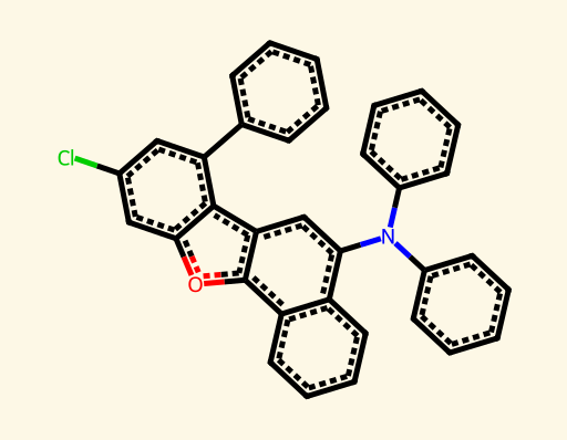 Clc1cc(-c2ccccc2)c2c(c1)oc1c3ccccc3c(N(c3ccccc3)c3ccccc3)cc12